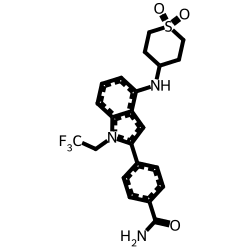 NC(=O)c1ccc(-c2cc3c(NC4CCS(=O)(=O)CC4)cccc3n2CC(F)(F)F)cc1